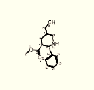 COC(=O)[C@H]1C[C@@H](CO)CN[C@H]1c1ccccc1